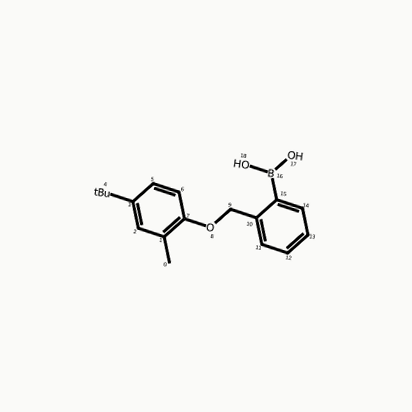 Cc1cc(C(C)(C)C)ccc1OCc1ccccc1B(O)O